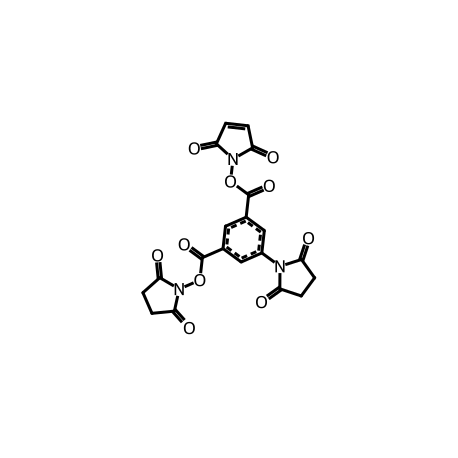 O=C(ON1C(=O)C=CC1=O)c1cc(C(=O)ON2C(=O)CCC2=O)cc(N2C(=O)CCC2=O)c1